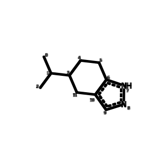 CC(C)C1CCc2[nH]ncc2C1